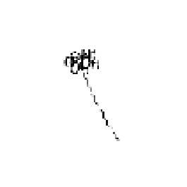 C=CCCCCCCCCCCCCCCCCCCC(O)(C[N+](C)(C)C)P(=O)(O)O